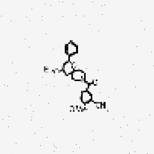 CCOC1CC(c2ccccc2)OC2(CCN(C(=O)c3ccc(OC)c(C)c3)CC2)C1